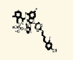 Cc1cccc(C(=O)O[C@@](Cn2cncn2)(c2ccc(F)cc2F)[C@@H](C)S[C@H]2CO[C@H](C=CC=Cc3ccc(C#N)cc3F)OC2)c1COP(=O)(O)O